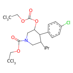 CC(C)C1CN(C(=O)OCC(Cl)(Cl)Cl)CC(OC(=O)OCC(Cl)(Cl)Cl)C1c1ccc(Cl)cc1